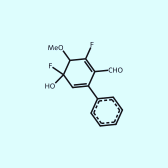 COC1C(F)=C(C=O)C(c2ccccc2)=CC1(O)F